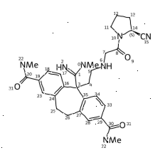 CNC(=N)C1(CCNCC(=O)N2CCC[C@H]2C#N)c2ccc(C(=O)NC)cc2CCc2cc(C(=O)NC)ccc21